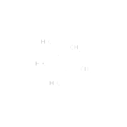 [CH2]C(C)(C)[C](C)C